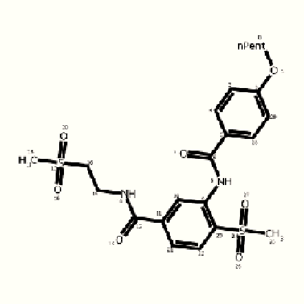 CCCCCOc1ccc(C(=O)Nc2cc(C(=O)NCCS(C)(=O)=O)ccc2S(C)(=O)=O)cc1